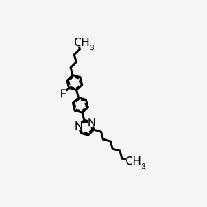 CCCCCCCc1ccnc(-c2ccc(-c3ccc(CCCCC)cc3F)cc2)n1